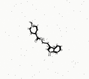 CN1CCC(C(=O)NCCc2c[nH]c3ccccc23)CC1